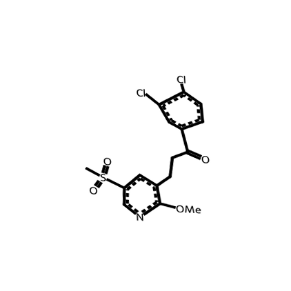 COc1ncc(S(C)(=O)=O)cc1CCC(=O)c1ccc(Cl)c(Cl)c1